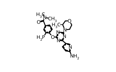 C[C@H]1COCCN1c1nc(Oc2ccc(C(=O)N(C)C)cc2P)nc(-c2ccc(N)nc2)n1